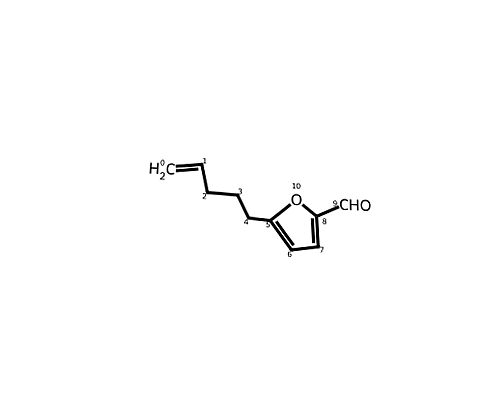 C=CCCCc1ccc(C=O)o1